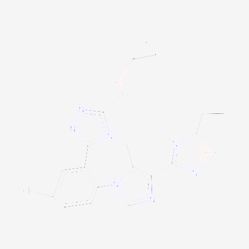 CC(C)c1nc(-c2ncn3c2Cn2c(COC4CC4)nnc2-c2cc(Cl)ccc2-3)no1